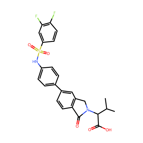 CC(C)C(C(=O)O)N1Cc2cc(-c3ccc(NS(=O)(=O)c4ccc(F)c(F)c4)cc3)ccc2C1=O